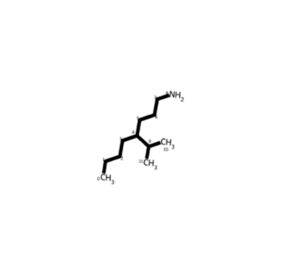 CCCCC(CCCN)C(C)C